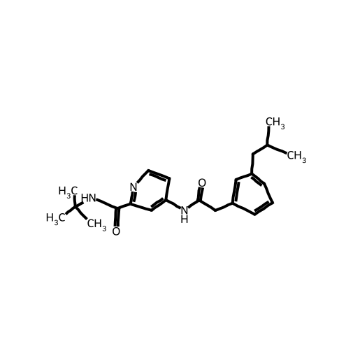 CC(C)Cc1cccc(CC(=O)Nc2ccnc(C(=O)NC(C)(C)C)c2)c1